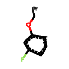 CC(C)COc1[c]ccc(F)c1